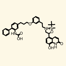 CC(C)(C)[Si](C)(C)OC(CNCCc1cccc(OCCCc2ccc(-c3ccccc3)c(NC(=O)O)c2)c1)c1ccc(O)c2[nH]c(=O)ccc12